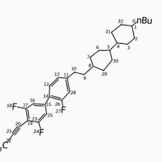 CCCCC1CCC(C2CCC(CCc3ccc(-c4cc(F)c(C#CC(F)(F)F)c(F)c4)c(F)c3)CC2)CC1